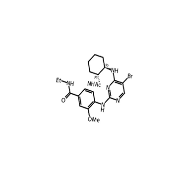 CCNC(=O)c1ccc(Nc2ncc(Br)c(N[C@@H]3CCCC[C@H]3NC(C)=O)n2)c(OC)c1